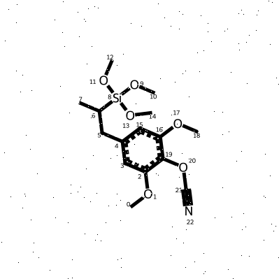 COc1cc(CC(C)[Si](OC)(OC)OC)cc(OC)c1OC#N